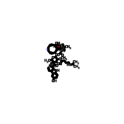 COC(=O)NC1=C2/C(=C\CS(C)(=S)=S)[C@](O)(C#C/C=C\C#C[C@@H]2OC2OC(C)C(SC)(C(=O)c3nccc4c3[nH]c3ccc(O)cc34)C(O)C2OC(=O)CCCNC(C)C)CC1=O